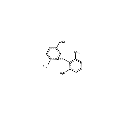 Cc1ccc(C=O)cc1.O=Cc1c([N+](=O)[O-])cccc1[N+](=O)[O-]